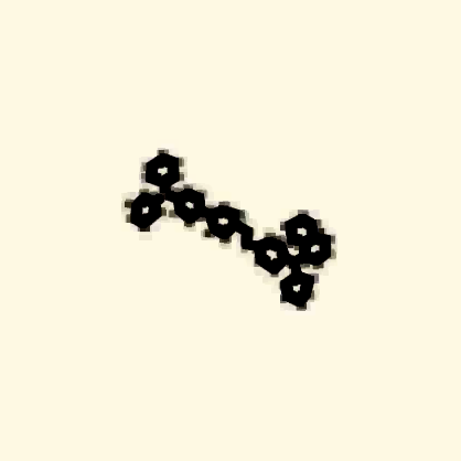 C(=Cc1ccc(N(c2ccccc2)c2cccc3ccccc23)cc1)c1ccc(-c2ccc(N(c3ccccc3)c3ccccc3)cc2)cc1